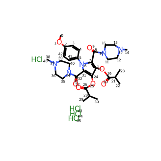 COc1ccc(-n2c(C(=O)N3CCN(C)CC3)c(OC(=O)C(C)C)c(OC(=O)C(C)C)c2C(=O)N2CCN(C)CC2)cc1.Cl.Cl.Cl.Cl